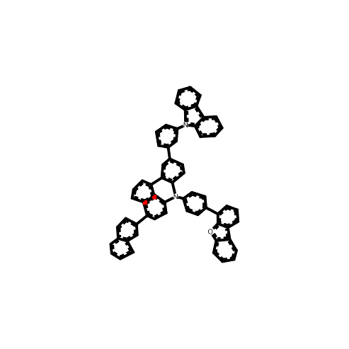 c1ccc(-c2cc(-c3cccc(-n4c5ccccc5c5ccccc54)c3)ccc2N(c2ccc(-c3ccc4ccccc4c3)cc2)c2ccc(-c3cccc4c3oc3ccccc34)cc2)cc1